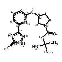 CC(C)(C)OC(=O)N1CC[C@H](Oc2cccc(-c3n[nH]c(=O)[nH]3)n2)C1